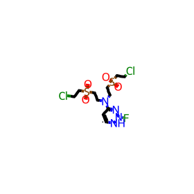 O=S(=O)(CCCl)CCN(CCS(=O)(=O)CCCl)C1=NN(F)N[C]=C1